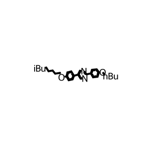 CCCCOc1ccc(-c2ncc(-c3ccc(OCCCCCC(C)CC)cc3)cn2)cc1